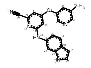 Cc1cncc(Oc2cc(C#N)nc(Nc3ccc4cc[nH]c4c3)c2)c1